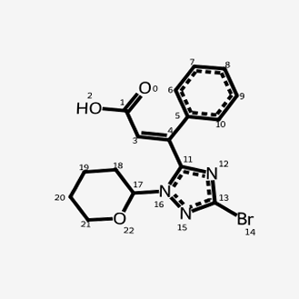 O=C(O)/C=C(\c1ccccc1)c1nc(Br)nn1C1CCCCO1